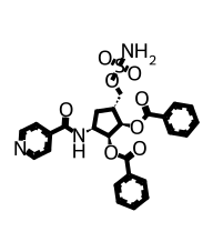 NS(=O)(=O)OC[C@H]1C[C@@H](NC(=O)c2ccncc2)[C@H](OC(=O)c2ccccc2)[C@@H]1OC(=O)c1ccccc1